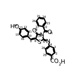 O=C(O)c1ccc(N=C2SC(=Cc3ccc(O)cc3)C(=O)N2C(=O)c2ccccc2)cc1